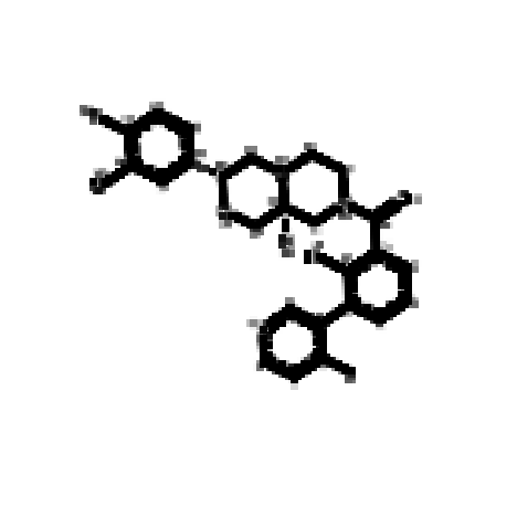 Cc1ccncc1-c1cccc(C(=O)N2CCN3C[C@@H](c4ccc(F)c(Cl)c4)OC[C@@H]3C2)c1Cl